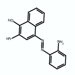 CCCc1cc(N=Nc2ccccc2N)c2ccccc2c1O